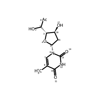 CC(=O)C(O)[C@H]1O[C@@H](n2cc(C)c(=O)[nH]c2=O)C[C@@H]1O